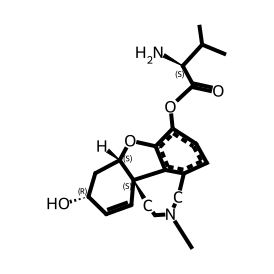 CC(C)[C@H](N)C(=O)Oc1ccc2c3c1O[C@H]1C[C@@H](O)C=C[C@@]31CCN(C)C2